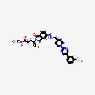 Cc1cccc(-c2cnc(N3CCC(CNCc4ccc5c(c4)CN(C(C)CCC(=O)NC=O)C5=O)CC3)nc2)c1